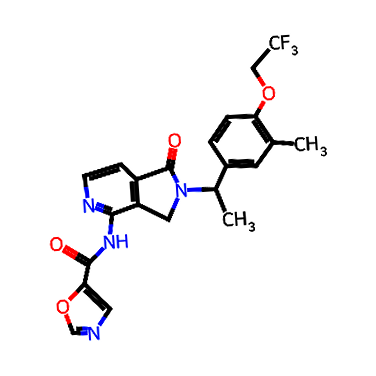 Cc1cc(C(C)N2Cc3c(ccnc3NC(=O)c3cnco3)C2=O)ccc1OCC(F)(F)F